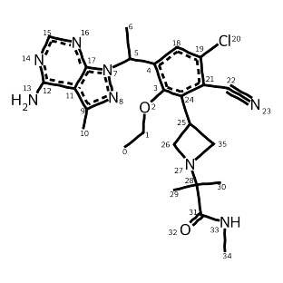 CCOc1c(C(C)n2nc(C)c3c(N)ncnc32)cc(Cl)c(C#N)c1C1CN(C(C)(C)C(=O)NC)C1